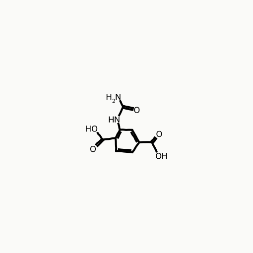 NC(=O)Nc1cc(C(=O)O)ccc1C(=O)O